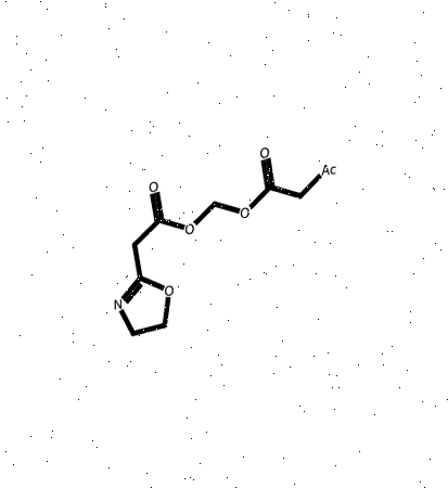 CC(=O)CC(=O)OCOC(=O)CC1=NCCO1